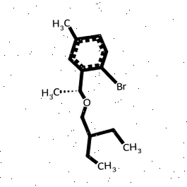 CCC(CC)CO[C@H](C)c1cc(C)ccc1Br